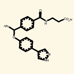 CCCC(Oc1ccc(-c2cn[nH]c2)cc1)c1ccc(C(=O)NCCC(=O)O)cc1